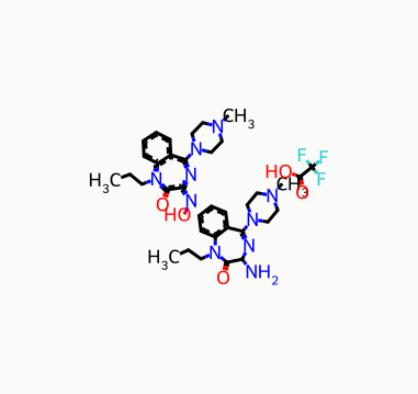 CCCN1C(=O)C(N)N=C(N2CCN(C)CC2)c2ccccc21.CCCn1c(=O)/c(=N\O)nc(N2CCN(C)CC2)c2ccccc21.O=C(O)C(F)(F)F